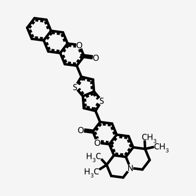 CC1(C)CCN2CCC(C)(C)c3c2c1cc1cc(-c2cc4sc(-c5cc6cc7ccccc7cc6oc5=O)cc4s2)c(=O)oc31